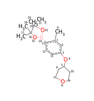 Cc1cc(OC2CCOCC2)ccc1B1OC(C)(C)C(C)(C)O1